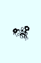 C=C(C)C[C@@]1(C)C(=O)OC(C2C=CC=CC2)N1C(=O)OCc1ccccc1